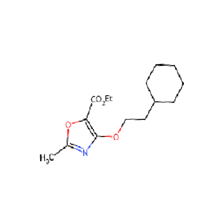 CCOC(=O)c1oc(C)nc1OCCC1CCCCC1